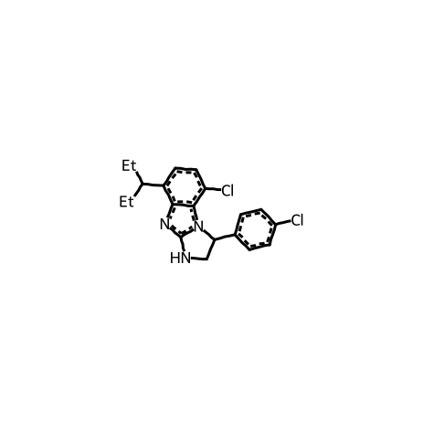 CCC(CC)c1ccc(Cl)c2c1nc1n2C(c2ccc(Cl)cc2)CN1